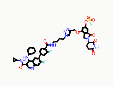 O=C1CCC(N2Cc3c(OCc4cn(CCCCNC(=O)c5ccc(-c6cc7c(Nc8ccccc8)c(C(=O)NC8CC8)cnc7cc6F)cc5F)nn4)cc(OS(=O)(=O)F)cc3C2=O)C(=O)N1